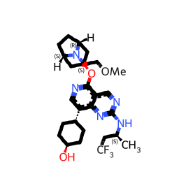 COCCN1[C@@H]2CC[C@H]1C[C@H](Oc1ncc([C@H]3CC[C@H](O)CC3)c3nc(N[C@@H](C)CC(F)(F)F)ncc13)C2